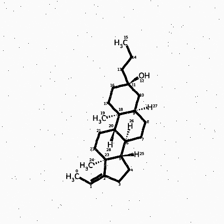 C/C=C1/CC[C@H]2[C@@H]3CC[C@@H]4C[C@@](O)(CCC)CC[C@]4(C)[C@H]3CC[C@]12C